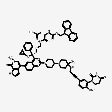 COc1ccc(C#CCNC2(C)CCN(C3CCN(c4nc([C@@](COCNC(=O)[C@H](CC(N)=O)NC(=O)OCC5c6ccccc6-c6ccccc65)(OC5CC5)c5ccccc5)c5cc(-c6cn(C)c(=O)c7[nH]ccc67)ccc5n4)CC3)CC2)cc1N1CCC(=O)NC1=O